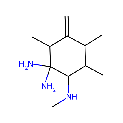 C=C1C(C)C(C)C(NC)C(N)(N)C1C